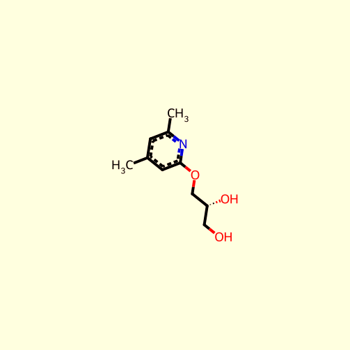 Cc1cc(C)nc(OC[C@H](O)CO)c1